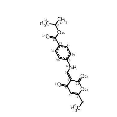 CCC1=CC(=O)C(=CNc2ccc(C(=O)OC(C)C)cc2)C(=O)O1